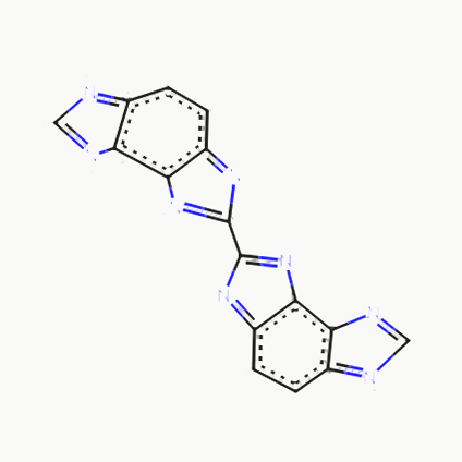 C1=Nc2c3c(ccc2=N1)=NC(C1=Nc2c4c(ccc2=N1)=NC=N4)=N3